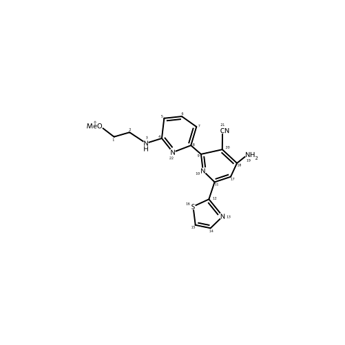 COCCNc1cccc(-c2nc(-c3nccs3)cc(N)c2C#N)n1